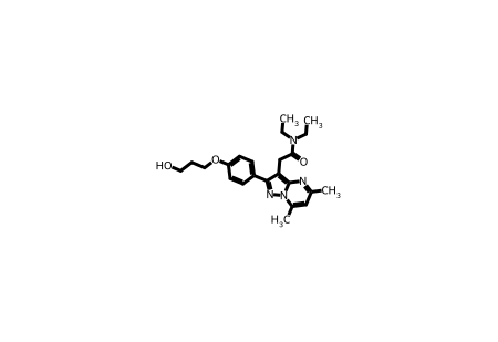 CCN(CC)C(=O)Cc1c(-c2ccc(OCCCO)cc2)nn2c(C)cc(C)nc12